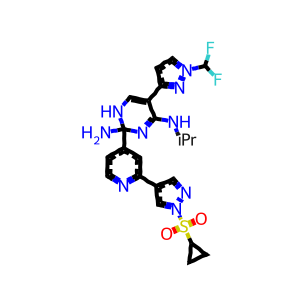 CC(C)NC1=NC(N)(c2ccnc(-c3cnn(S(=O)(=O)C4CC4)c3)c2)NC=C1c1ccn(C(F)F)n1